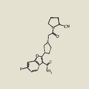 N#CC1CCCN1C(=O)CN1CCC(c2oc3cc(F)ccc3c2C(N)=O)C1